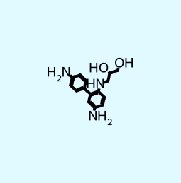 Nc1ccc(-c2cc(N)ccc2NCC(O)CO)cc1